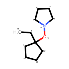 CCC1(ON2CCCC2)CCCC1